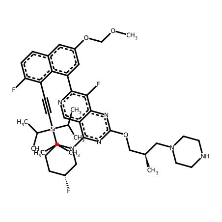 COCOc1cc(-c2ncc3c(N4CCC[C@@H](F)C4)nc(OC[C@H](C)CN4CCNCC4)nc3c2F)c2c(C#C[Si](C(C)C)(C(C)C)C(C)C)c(F)ccc2c1